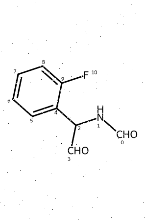 O=CNC(C=O)c1ccccc1F